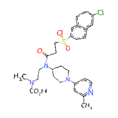 Cc1cc(N2CCC(N(CCN(C)C(=O)O)C(=O)CCS(=O)(=O)c3ccc4cc(Cl)ccc4c3)CC2)ccn1